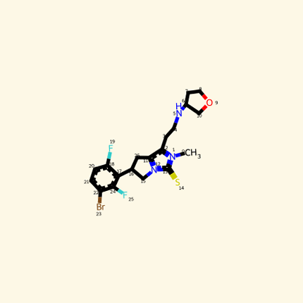 Cn1c(CCNC2CCOC2)c2n(c1=S)CC(c1c(F)ccc(Br)c1F)C2